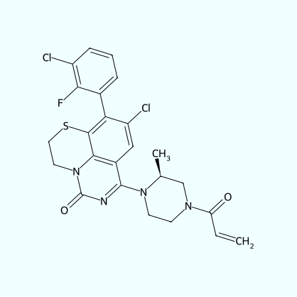 C=CC(=O)N1CCN(c2nc(=O)n3c4c(c(-c5cccc(Cl)c5F)c(Cl)cc24)SCC3)[C@@H](C)C1